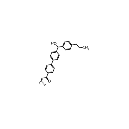 C=CC(=O)c1ccc(-c2ccc(C(O)c3ccc(CCC)cc3)cc2)cc1